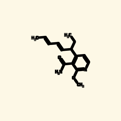 C/C=C/C=C/C(CC)c1ccnc(OC)c1C(N)=O